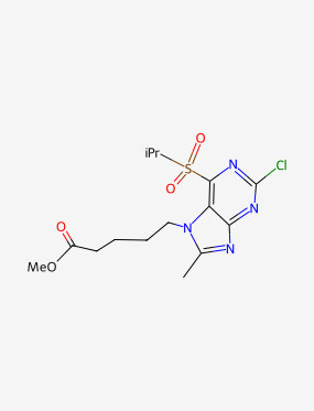 COC(=O)CCCCn1c(C)nc2nc(Cl)nc(S(=O)(=O)C(C)C)c21